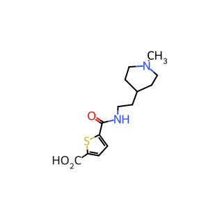 CN1CCC(CCNC(=O)c2ccc(C(=O)O)s2)CC1